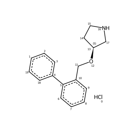 Cl.c1ccc(-c2ccccc2CO[C@H]2CCNC2)cc1